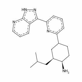 CC(C)C[C@H]1CC(c2cccc(-c3n[nH]c4ncccc34)n2)CC[C@H]1N